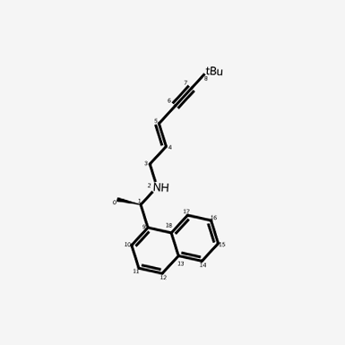 C[C@@H](NC/C=C/C#CC(C)(C)C)c1cccc2ccccc12